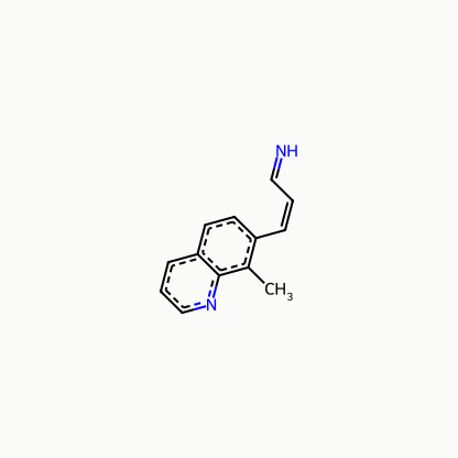 Cc1c(/C=C\C=N)ccc2cccnc12